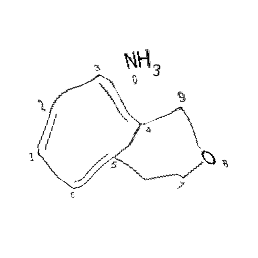 N.c1ccc2c(c1)COC2